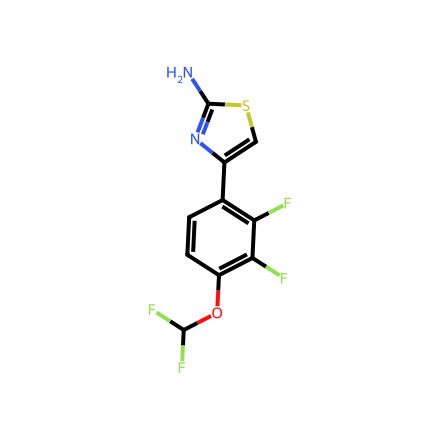 Nc1nc(-c2ccc(OC(F)F)c(F)c2F)cs1